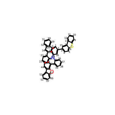 c1cc(-c2ccc3sc4ccccc4c3c2)cc(N(c2ccccc2-c2ccc3ccccc3c2)c2ccccc2-c2cccc3c2oc2ccccc23)c1